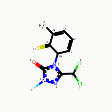 O=c1n(F)nc(C(Cl)Cl)n1C1C=CC=C(C(F)(F)F)C1=S